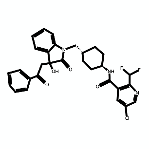 O=C(CC1(O)C(=O)N(C[C@H]2CC[C@H](NC(=O)c3cc(Cl)cnc3C(F)F)CC2)c2ccccc21)c1ccccc1